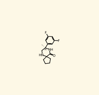 C[C@@]1(c2cc(F)cc(F)c2)CNC2(CCCC2)C(=O)N1